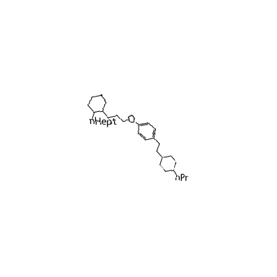 CCCCCCCC1CCCCC1CCCOc1ccc(CCC2CCC(CCC)CC2)cc1